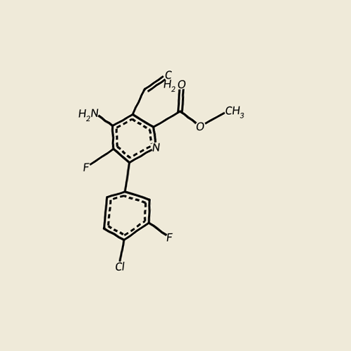 C=Cc1c(C(=O)OC)nc(-c2ccc(Cl)c(F)c2)c(F)c1N